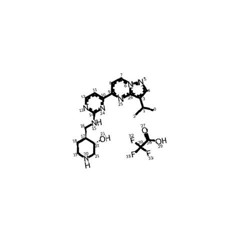 CC(C)c1cnn2ccc(-c3ccnc(NC[C@@H]4CCNC[C@H]4O)n3)nc12.O=C(O)C(F)(F)F